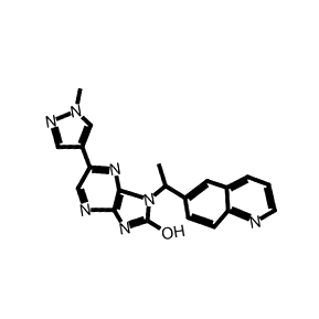 CC(c1ccc2ncccc2c1)n1c(O)nc2ncc(-c3cnn(C)c3)nc21